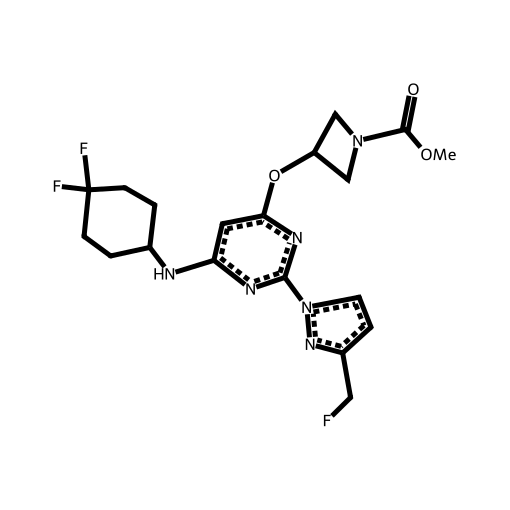 COC(=O)N1CC(Oc2cc(NC3CCC(F)(F)CC3)nc(-n3ccc(CF)n3)n2)C1